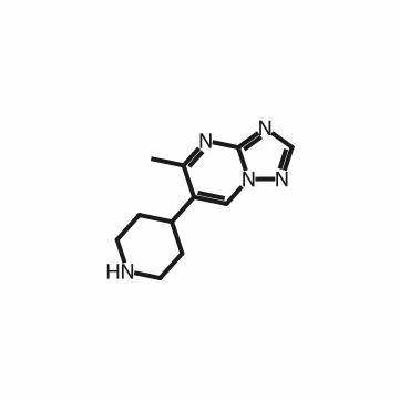 Cc1nc2ncnn2cc1C1CCNCC1